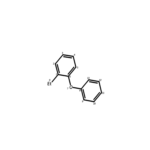 CCc1ccccc1Oc1cc[c]cc1